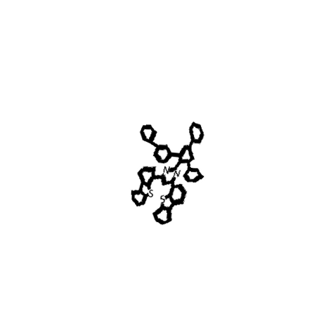 c1ccc(-c2cccc(-c3cc(-c4ccccc4)cc(-c4ccccc4)c3-c3nc(-c4cccc5c4sc4ccccc45)cc(-c4cccc5c4sc4ccccc45)n3)c2)cc1